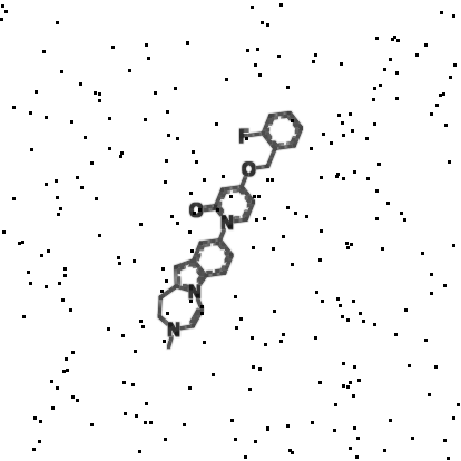 CN1C=Cn2c(cc3cc(-n4ccc(OCc5ccccc5F)cc4=O)ccc32)CC1